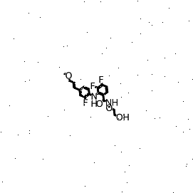 COCC=Cc1ccc(Nc2c(C(=O)NOCCO)ccc(F)c2F)c(F)c1